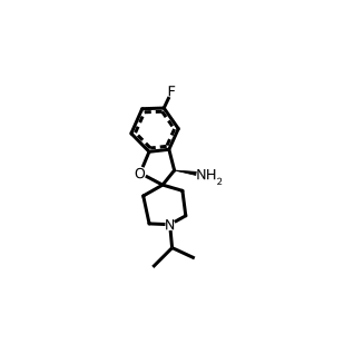 CC(C)N1CCC2(CC1)Oc1ccc(F)cc1[C@H]2N